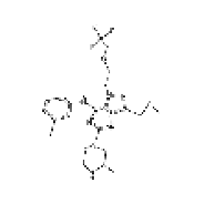 COCc1nn(CCOCC(F)(F)F)c2c(Nc3cccc(C)c3)nc(N3CCN[C@H](C)C3)nc12